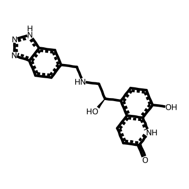 O=c1ccc2c([C@@H](O)CNCc3ccc4nn[nH]c4c3)ccc(O)c2[nH]1